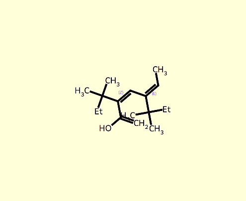 C=C(O)/C(=C\C(=C/C)C(C)(C)CC)C(C)(C)CC